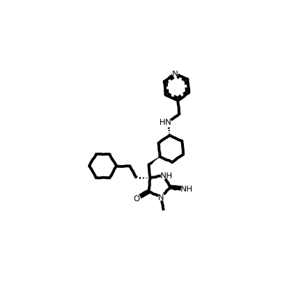 CN1C(=N)N[C@](CCC2CCCCC2)(C[C@@H]2CCC[C@@H](NCc3ccncc3)C2)C1=O